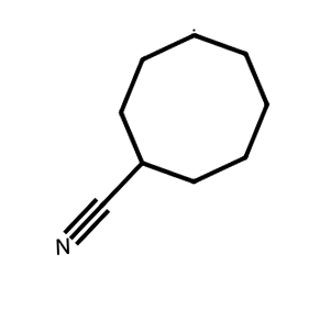 N#CC1CC[CH]CCCC1